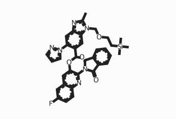 Cc1nc2cc(-n3cccn3)c(C(C)Oc3cc4cc(F)ccc4nc3N3C(=O)c4ccccc4C3=O)cc2n1COCC[Si](C)(C)C